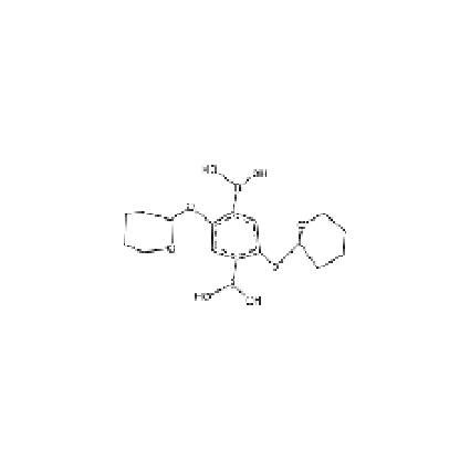 OB(O)c1cc(OC2CCCCO2)c(B(O)O)cc1OC1CCCCO1